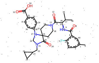 Cc1ccc(F)c(C(=O)N[C@@H](C(=O)N2CCC3(CC2)C(=O)N(CC2CC2)CN3c2ccc(C(=O)O)cc2)C(C)C)c1